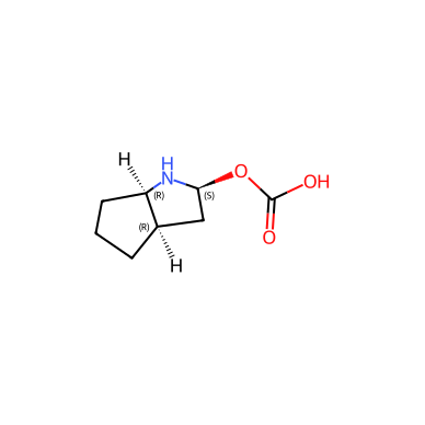 O=C(O)O[C@H]1C[C@H]2CCC[C@H]2N1